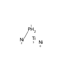 [Ni].[PH2][Ni].[Ti]